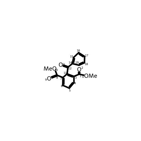 COC(=O)c1cccc(C(=O)OC)c1C(=O)c1ccccc1